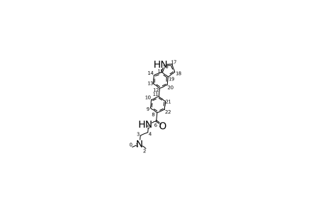 CN(C)CCNC(=O)c1ccc(-c2ccc3[nH]ccc3c2)cc1